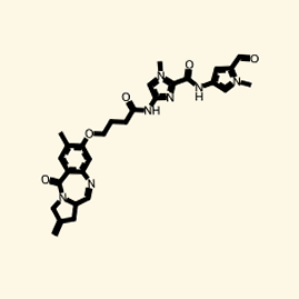 C=C1CC2C=Nc3cc(OCCCC(=O)Nc4cn(C)c(C(=O)Nc5cc(C=O)n(C)c5)n4)c(C)cc3C(=O)N2C1